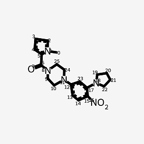 Cn1cccc1C(=O)N1CCN(c2ccc([N+](=O)[O-])c(N3CCCC3)c2)CC1